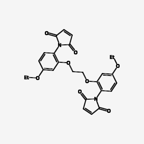 CCOc1ccc(N2C(=O)C=CC2=O)c(OCCOc2cc(OCC)ccc2N2C(=O)C=CC2=O)c1